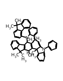 CC1C2=C(c3ccccc3C2(C)C)C2(C)C3=C1C1(C)C(=CC3(C)c3ccccc3N2c2cccc3c2-c2ccccc2C3(C)C)N(c2ccccc2)c2ccccc21